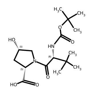 CC(C)(C)OC(=O)N[C@@H](C(=O)N1C[C@@H](O)C[C@H]1C(=O)O)C(C)(C)C